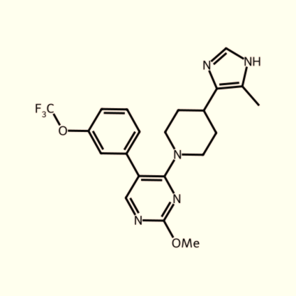 COc1ncc(-c2cccc(OC(F)(F)F)c2)c(N2CCC(c3nc[nH]c3C)CC2)n1